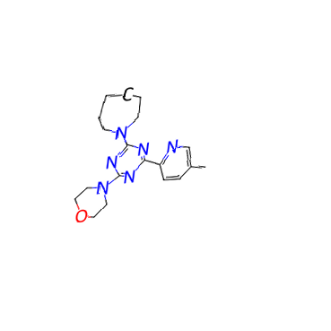 Cc1ccc(-c2nc(N3CCCCCC3)nc(N3CCOCC3)n2)nc1